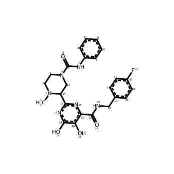 CN1CCN(C(=O)Nc2ccccc2)CC1c1nc(O)c(O)c(C(=O)NCc2ccc(F)cc2)n1